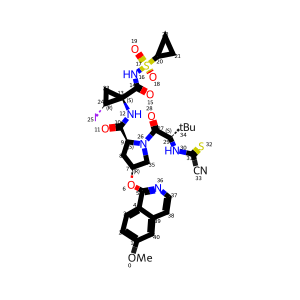 COc1ccc2c(O[C@@H]3C[C@@H](C(=O)N[C@]4(C(=O)NS(=O)(=O)C5CC5)C[C@H]4I)N(C(=O)[C@@H](NC(=S)C#N)C(C)(C)C)C3)nccc2c1